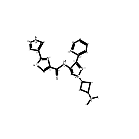 CN(C)[C@H]1C[C@@H](n2cc(NC(=O)c3csc(-c4cn[nH]c4)n3)c(-c3ccccn3)n2)C1